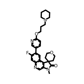 CN1C(=O)C2(CCOCC2)c2c1cnc1cc(F)c(-c3ccc(OCCCN4CCCCC4)nc3)cc21